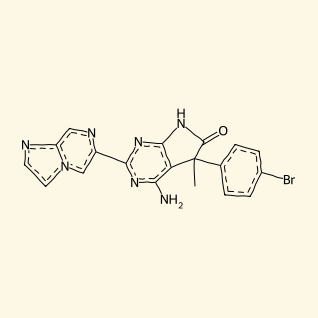 CC1(c2ccc(Br)cc2)C(=O)Nc2nc(-c3cn4ccnc4cn3)nc(N)c21